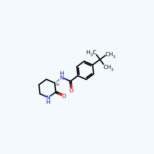 CC(C)(C)c1ccc(C(=O)N[C@H]2CCCNC2=O)cc1